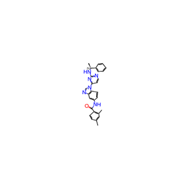 Cc1ccc(C(=O)Nc2ccc3c(c2)ncn3-c2ccnc(N[C@@H](C)c3ccccc3)n2)c(C)c1